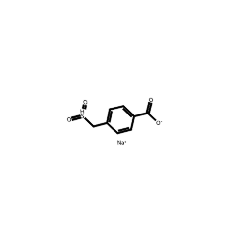 O=C([O-])c1ccc(C[SH](=O)=O)cc1.[Na+]